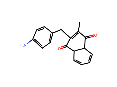 CC1=C(Cc2ccc(N)cc2)C(=O)C2C=CC=CC2C1=O